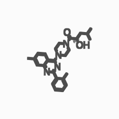 Cc1ccc2c(N3CCN(C(=O)[C@H](O)CC(C)C)CC3)nc(-c3ccccc3C)nc2c1